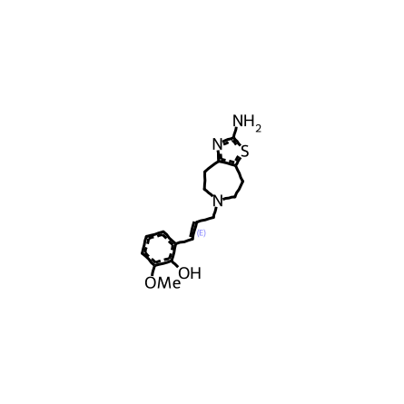 COc1cccc(/C=C/CN2CCc3nc(N)sc3CC2)c1O